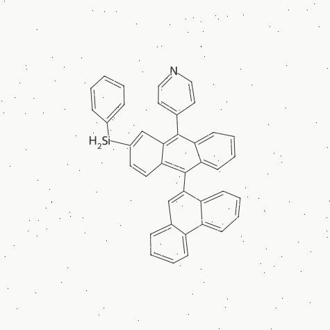 c1ccc([SiH2]c2ccc3c(-c4cc5ccccc5c5ccccc45)c4ccccc4c(-c4ccncc4)c3c2)cc1